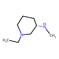 CCN1CCC[C@H](NC)C1